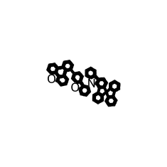 c1ccc2c(c1)-c1ccccc1C21c2ccccc2-c2c1ccc1c3ccccc3n(-c3cccc4oc5cc(-c6cccc7c8cccc9oc%10cccc(c67)c%10c98)ccc5c34)c21